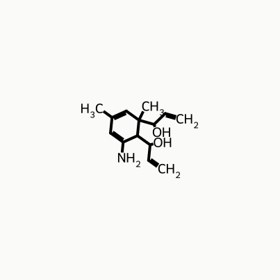 C=CC(O)C1C(N)=CC(C)=CC1(C)C(O)C=C